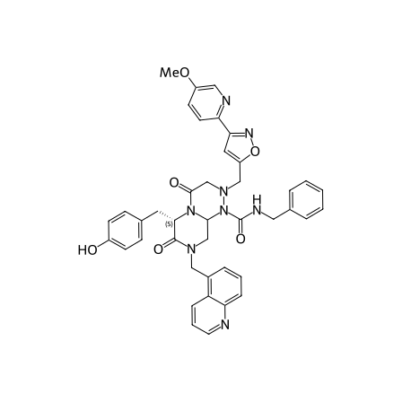 COc1ccc(-c2cc(CN3CC(=O)N4C(CN(Cc5cccc6ncccc56)C(=O)[C@@H]4Cc4ccc(O)cc4)N3C(=O)NCc3ccccc3)on2)nc1